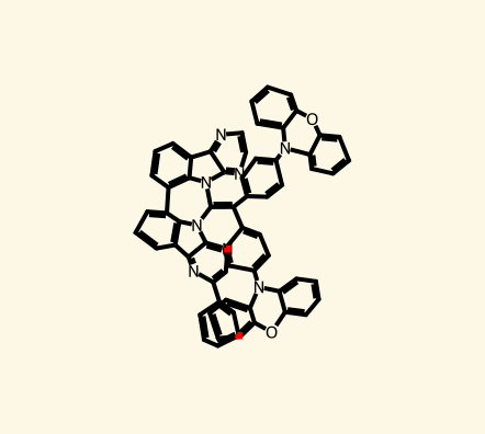 c1ccc(-c2cnc3c(n2)c2cccc4c5cccc6c7nccnc7n(c(=C(c7ccc(N8c9ccccc9Oc9ccccc98)cc7)c7ccc(N8c9ccccc9Oc9ccccc98)cc7)n3c42)c56)cc1